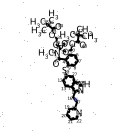 CN(C(=O)c1ccccc1Sc1ccc2c(/C=C/c3ccccn3)n[nH]c2c1)P(=O)(OCOC(=O)C(C)(C)C)OCOC(=O)C(C)(C)C